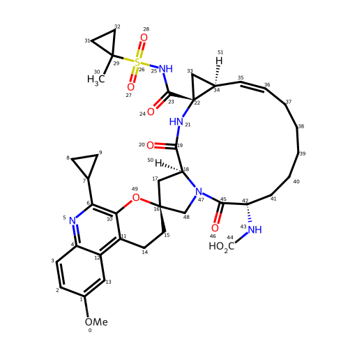 COc1ccc2nc(C3CC3)c3c(c2c1)CC[C@]1(C[C@H]2C(=O)N[C@]4(C(=O)NS(=O)(=O)C5(C)CC5)C[C@H]4C=CCCCCC[C@H](NC(=O)O)C(=O)N2C1)O3